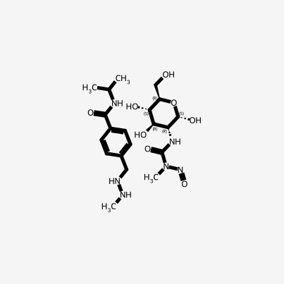 CN(N=O)C(=O)N[C@@H]1[C@@H](O)[C@H](O)[C@@H](CO)O[C@@H]1O.CNNCc1ccc(C(=O)NC(C)C)cc1